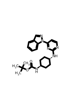 CC(C)(C)OC(=O)N[C@H]1CC[C@H](Nc2nccc(-n3ncc4ccccc43)n2)CC1